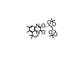 Cc1cc2nc(OC[C@@H]3OC(C)(C)O[C@@H]3[C@H]3COC(C)(C)O3)c(=O)n3c2c(c1C)C(C)(C)CC3